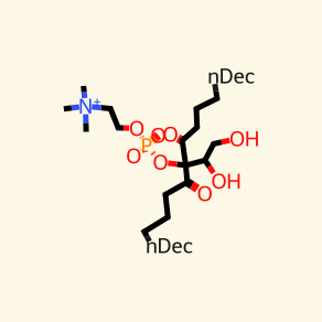 CCCCCCCCCCCCCC(=O)C(OP(=O)([O-])OCC[N+](C)(C)C)(C(=O)CCCCCCCCCCCCC)C(O)CO